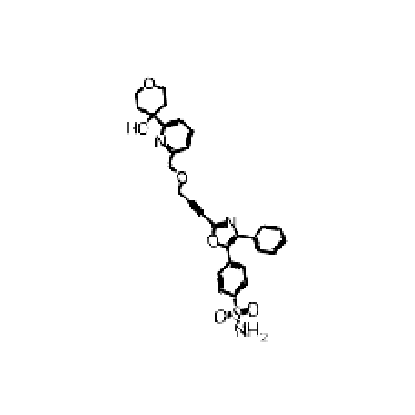 NS(=O)(=O)c1ccc(-c2oc(C#CCOCc3cccc(C4(O)CCOCC4)n3)nc2-c2ccccc2)cc1